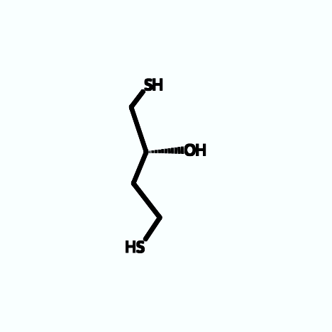 O[C@@H](CS)CCS